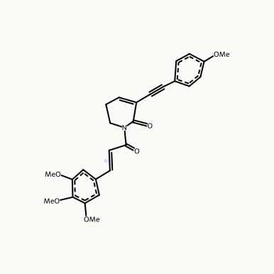 COc1ccc(C#CC2=CCCN(C(=O)/C=C/c3cc(OC)c(OC)c(OC)c3)C2=O)cc1